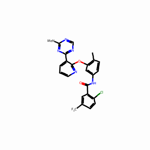 CNc1ncnc(-c2cccnc2Oc2cc(NC(=O)c3cc(C(F)(F)F)ccc3Cl)ccc2C)n1